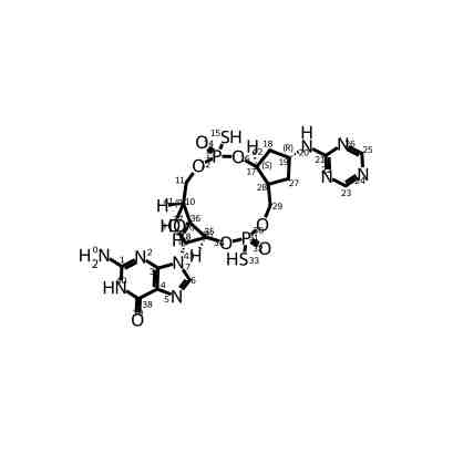 Nc1nc2c(ncn2[C@@H]2O[C@@H]3COP(=O)(S)O[C@H]4C[C@H](Nc5ncncn5)CC4COP(=O)(S)O[C@@H]2[C@@H]3O)c(=O)[nH]1